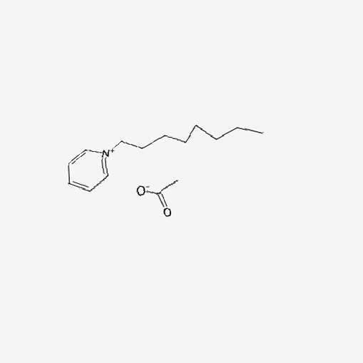 CC(=O)[O-].CCCCCCCC[n+]1ccccc1